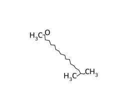 CCC(CC)CCCCCCCCCCCCCCC(C)=O